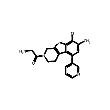 Cc1cc(-c2cccnc2)c2c3c(sc2c1Cl)CN(C(=O)CN)CC3